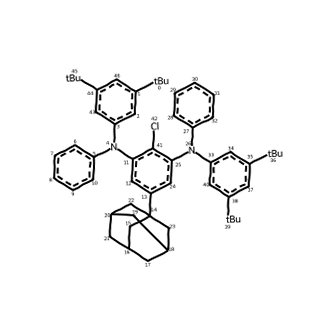 CC(C)(C)c1cc(N(c2ccccc2)c2cc(C34CC5CC(CC(C5)C3)C4)cc(N(c3ccccc3)c3cc(C(C)(C)C)cc(C(C)(C)C)c3)c2Cl)cc(C(C)(C)C)c1